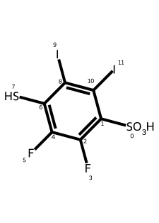 O=S(=O)(O)c1c(F)c(F)c(S)c(I)c1I